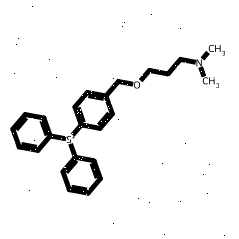 CN(C)CCCOCc1ccc([S+](c2ccccc2)c2ccccc2)cc1